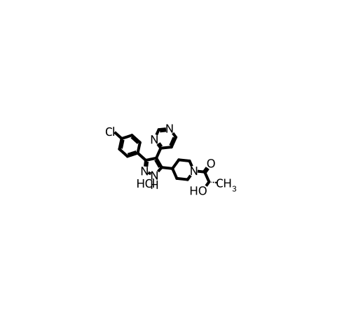 C[C@H](O)C(=O)N1CCC(c2[nH]nc(-c3ccc(Cl)cc3)c2-c2ccncn2)CC1.Cl